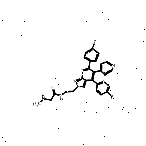 CNCC(=O)NCCn1cc2c(-c3ccc(F)cc3)c(-c3ccncc3)c(-c3ccc(F)cc3)nc2n1